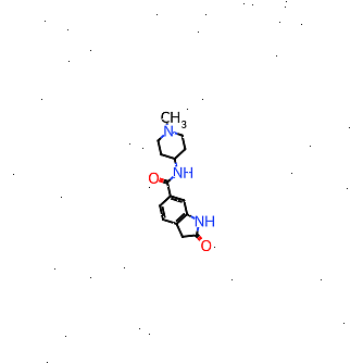 CN1CCC(NC(=O)c2ccc3c(c2)NC(=O)C3)CC1